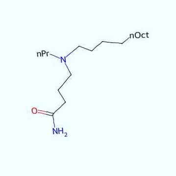 CCCCCCCCCCCCN(CCC)CCCC(N)=O